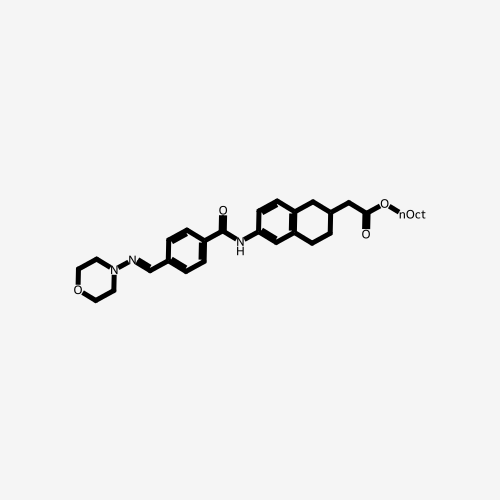 CCCCCCCCOC(=O)CC1CCc2cc(NC(=O)c3ccc(/C=N/N4CCOCC4)cc3)ccc2C1